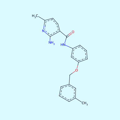 Cc1cccc(COc2cccc(NC(=O)c3ccc(C)nc3N)c2)c1